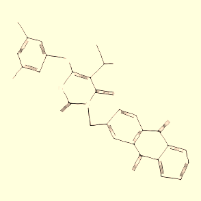 Cc1cc(C)cc(Oc2[nH]c(=O)n(Cc3ccc4c(c3)C(=O)c3ccccc3C4=O)c(=O)c2C(C)C)c1